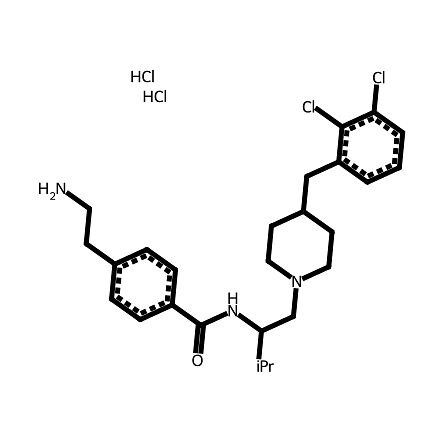 CC(C)C(CN1CCC(Cc2cccc(Cl)c2Cl)CC1)NC(=O)c1ccc(CCN)cc1.Cl.Cl